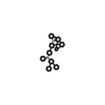 c1ccc(-c2ccc(N(c3ccccc3)c3ccc(-c4ccc5c(c4)C4(c6ccccc6-c6ccccc64)c4cccc6c7ccccc7n-5c46)cc3)cc2-c2ccccc2)cc1